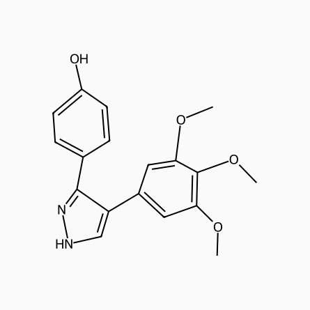 COc1cc(-c2c[nH]nc2-c2ccc(O)cc2)cc(OC)c1OC